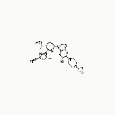 Cc1cc(C#N)nn1-c1nc(-n2cnc3cc(N4CCN(C5COC5)CC4)c(Br)cc32)ccc1C(C)O